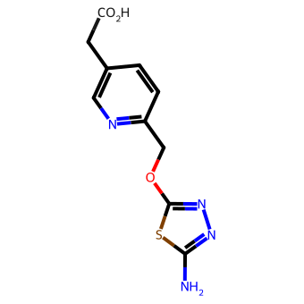 Nc1nnc(OCc2ccc(CC(=O)O)cn2)s1